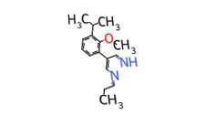 CC/C=N\C=C(/C=N)c1cccc(C(C)C)c1OC